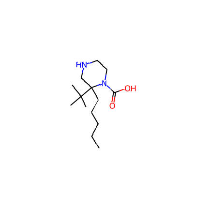 CCCCCC1(C(C)(C)C)CNCCN1C(=O)O